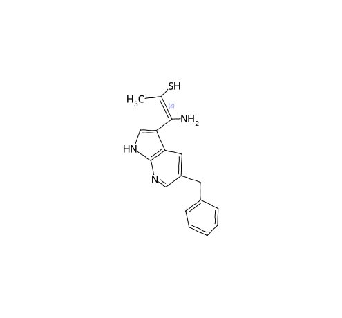 C/C(S)=C(/N)c1c[nH]c2ncc(Cc3ccccc3)cc12